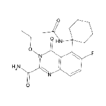 CCOn1c(C(N)=O)nc2ccc(F)c(C3(NC(C)=O)CCCCC3)c2c1=O